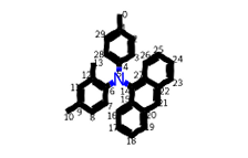 Cc1ccc(N(c2ccc(C)cc2C)c2c3ccccc3cc3ccccc23)cc1